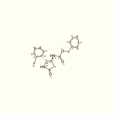 O=C1C[C@H](NC(=O)OCc2ccccc2)[C@@H](c2ccccc2F)N1